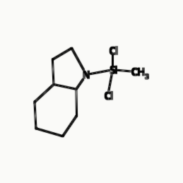 C[Si](Cl)(Cl)N1CCC2CCCCC21